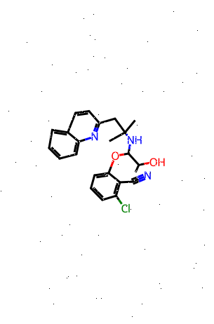 CC(O)C(NC(C)(C)Cc1ccc2ccccc2n1)Oc1cccc(Cl)c1C#N